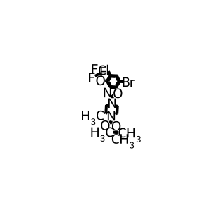 C[C@H]1CN(c2nc3c(OC(F)(F)F)c(Cl)cc(Br)c3o2)CCN1C(=O)OC(C)(C)C